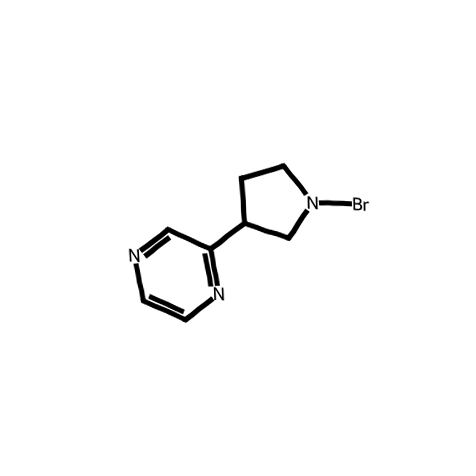 BrN1CCC(c2cnccn2)C1